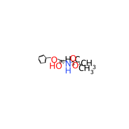 CC(C)(C)OC(=O)NC[C@@H](O)COCc1ccccc1